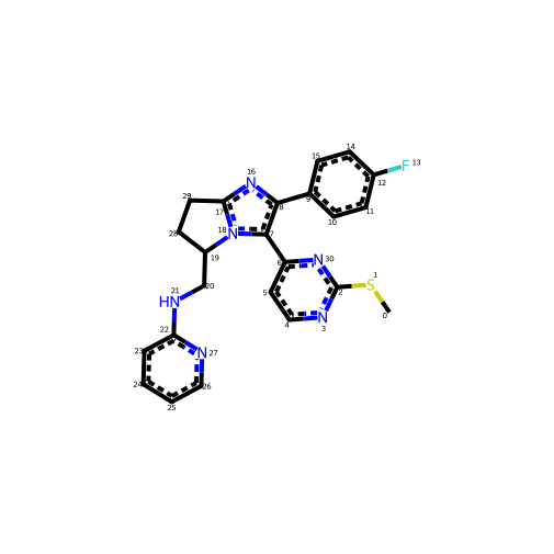 CSc1nccc(-c2c(-c3ccc(F)cc3)nc3n2C(CNc2ccccn2)CC3)n1